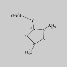 CCCCCCN1CC(C)CC1C